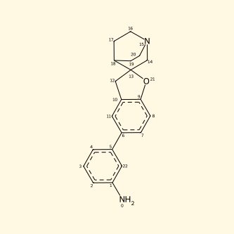 Nc1cccc(-c2ccc3c(c2)CC2(CN4CCC2CC4)O3)c1